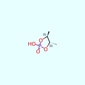 C[C@@H]1OP(=O)(O)O[C@H]1C